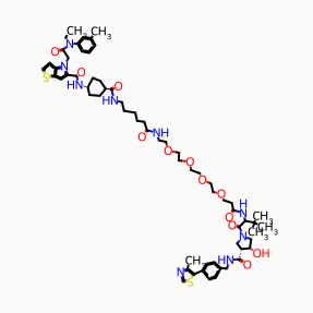 CCN(C(=O)Cn1c(C(=O)N[C@H]2CC[C@H](C(=O)NCCCCCC(=O)NCCOCCOCCOCCOCCC(=O)NC(C(=O)N3C[C@@H](O)[C@H](C(=O)NCc4ccc(-c5scnc5C)cc4)C3)C(C)(C)C)CC2)cc2sccc21)c1cccc(C)c1